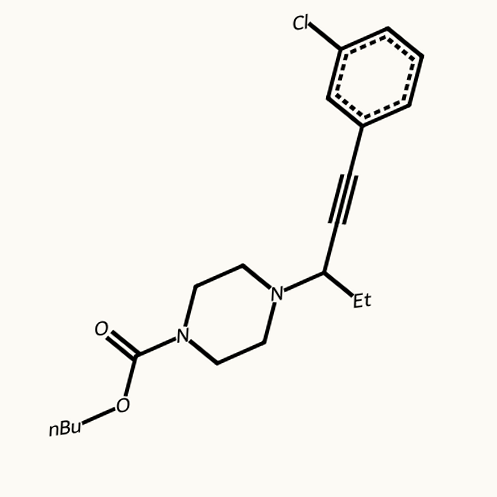 CCCCOC(=O)N1CCN(C(C#Cc2cccc(Cl)c2)CC)CC1